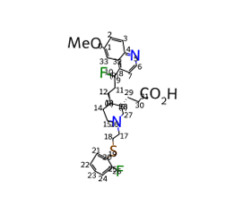 COc1ccc2nccc([C@H](F)CC[C@@H]3CCN(CCSc4ccccc4F)C[C@H]3CCC(=O)O)c2c1